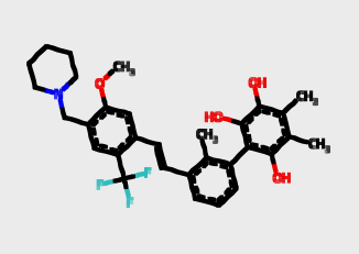 COc1cc(/C=C/c2cccc(-c3c(O)c(C)c(C)c(O)c3O)c2C)c(C(F)(F)F)cc1CN1CCCCC1